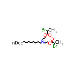 CCCCCCCCCCCCCCCCCCN(CCOC(=O)C(C)Br)CCOC(=O)C(C)Br